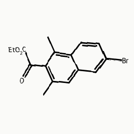 CCOC(=O)C(=O)c1c(C)cc2cc(Br)ccc2c1C